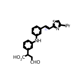 CC(C)c1csc(/C=C/c2cccc(Nc3cccc(C(CC=O)C(=O)O)c3)c2)n1